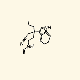 C=CNCCC(CC#N)(CCC)c1c[nH]c2c1=CCCC=2